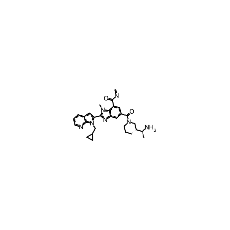 C=NC(=O)c1cc(C(=O)N2CCC[C@@H]([C@H](C)N)C2)cc2nc(-c3cc4cccnc4n3CC3CC3)n(C)c12